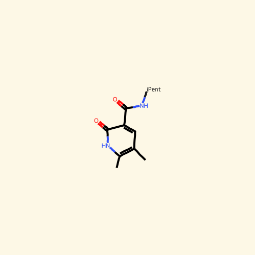 CCCC(C)NC(=O)c1cc(C)c(C)[nH]c1=O